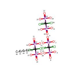 O=P([O-])([O-])C(Cl)(Cl)P(=O)([O-])[O-].O=P([O-])([O-])C(Cl)(Cl)P(=O)([O-])[O-].O=P([O-])([O-])C(Cl)(Cl)P(=O)([O-])[O-].[Cr+3].[Cr+3].[Cr+3].[Cr+3]